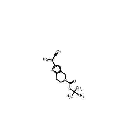 C#CC(O)c1cc2c(s1)CCN(C(=O)OC(C)(C)C)C2